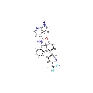 O=C(NC1c2ccccc2-c2c(-c3ccc(C(F)(F)F)nc3)cccc21)c1ccnc2[nH]ccc12